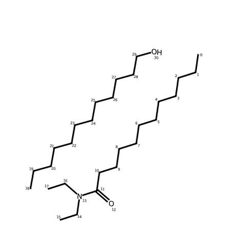 CCCCCCCCCCCC(=O)N(CC)CC.CCCCCCCCCCCCO